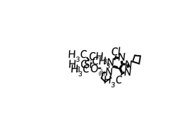 Cc1nn(C2CCC2)c2nc(Cl)nc(N3CCC[C@@H]3CO[Si](C)(C)C(C)(C)C)c12